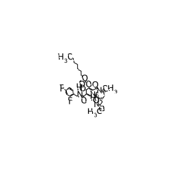 CCCCCCCOC(=O)Oc1c2n(cc(C(=O)NCc3ccc(F)cc3F)c1=O)[C@@H]1CN(C2=O)[C@@H](C)CC[C@]12CC(OC)=NO2